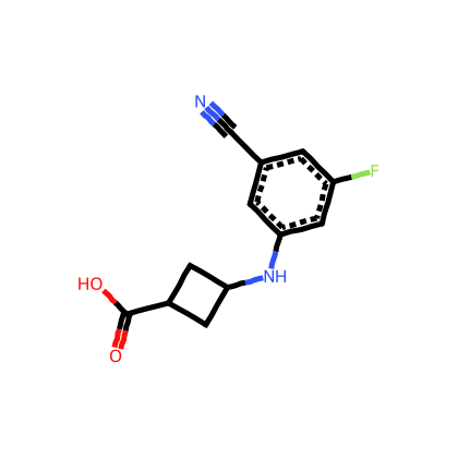 N#Cc1cc(F)cc(NC2CC(C(=O)O)C2)c1